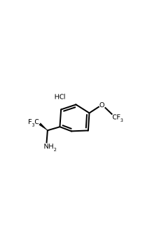 Cl.N[C@H](c1ccc(OC(F)(F)F)cc1)C(F)(F)F